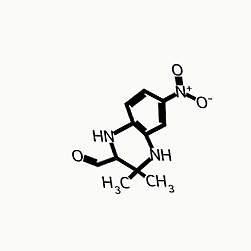 CC1(C)Nc2cc([N+](=O)[O-])ccc2NC1C=O